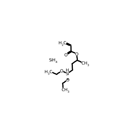 C=CC(=O)OC(C)CC[SiH](OCC)OCC.[SiH4]